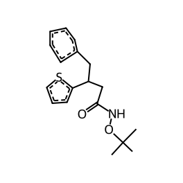 CC(C)(C)ONC(=O)CC(Cc1ccccc1)c1cccs1